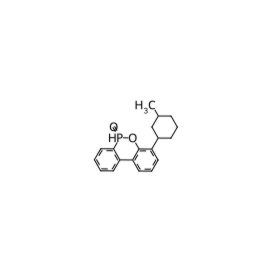 CC1CCCC(c2cccc3c2O[PH](=O)c2ccccc2-3)C1